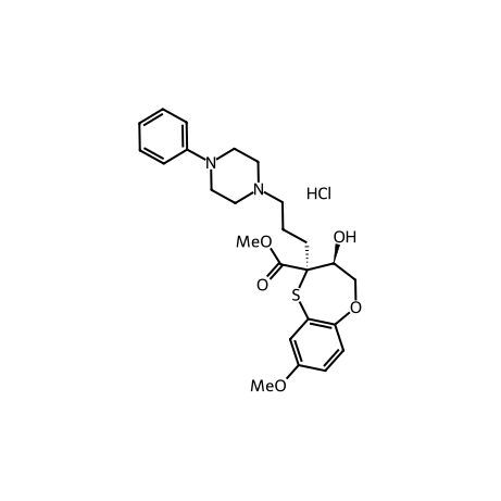 COC(=O)[C@]1(CCCN2CCN(c3ccccc3)CC2)Sc2cc(OC)ccc2OC[C@@H]1O.Cl